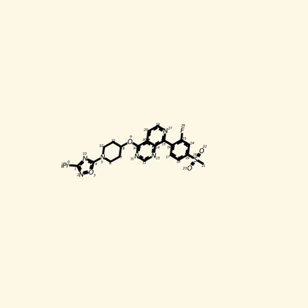 CC(C)c1noc(N2CCC(Oc3ncnc4c(-c5ccc(S(C)(=O)=O)cc5F)nccc34)CC2)n1